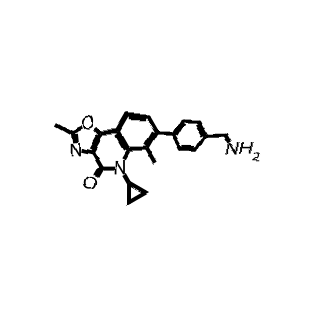 Cc1nc2c(=O)n(C3CC3)c3c(C)c(-c4ccc(CN)cc4)ccc3c2o1